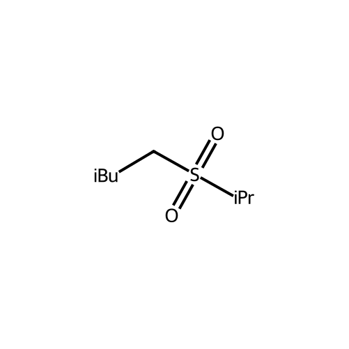 CCC(C)CS(=O)(=O)C(C)C